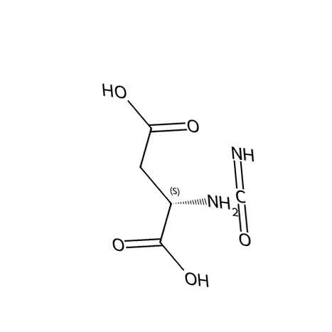 N=C=O.N[C@@H](CC(=O)O)C(=O)O